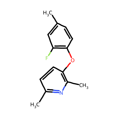 Cc1ccc(Oc2ccc(C)nc2C)c(F)c1